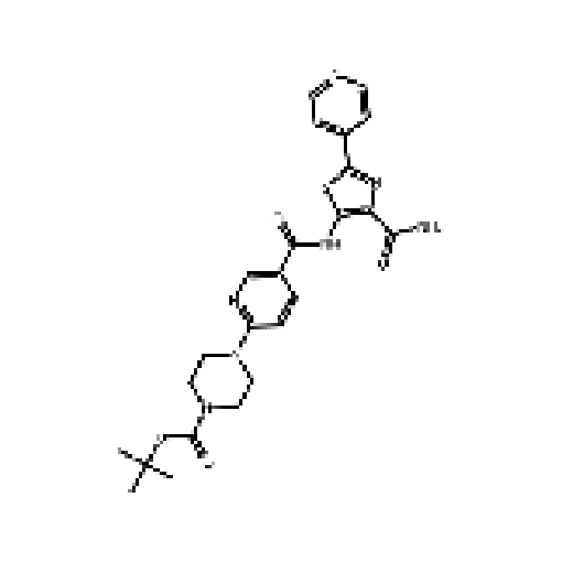 CC(C)(C)OC(=O)N1CCN(c2ccc(C(=O)Nc3sc(-c4ccncc4)nc3C(N)=O)cn2)CC1